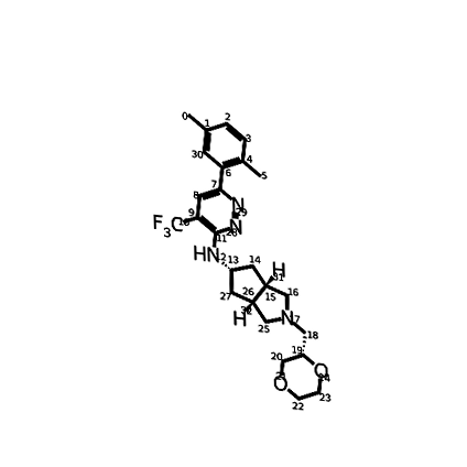 Cc1ccc(C)c(-c2cc(C(F)(F)F)c(N[C@@H]3C[C@@H]4CN(C[C@H]5COCCO5)C[C@@H]4C3)nn2)c1